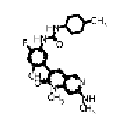 CNc1cc2c(cn1)cc(-c1cc(NC(=O)NC3CCC(C)CC3)c(F)cc1C)c(=O)n2C